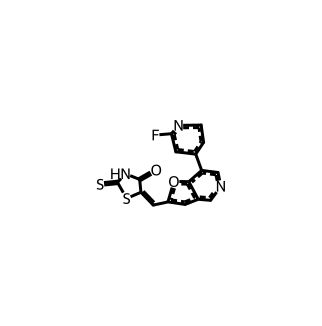 O=C1NC(=S)SC1=Cc1cc2cncc(-c3ccnc(F)c3)c2o1